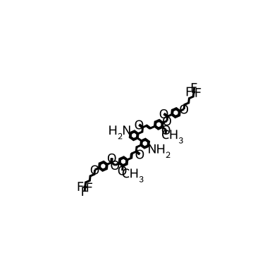 COc1cc(/C=C/C(=O)Cc2cc(N)ccc2-c2ccc(N)cc2CC(=O)/C=C/c2ccc(OC(=O)c3ccc(OCCCCC(F)(F)F)cc3)c(OC)c2)ccc1OC(=O)c1ccc(OCCCCC(F)(F)F)cc1